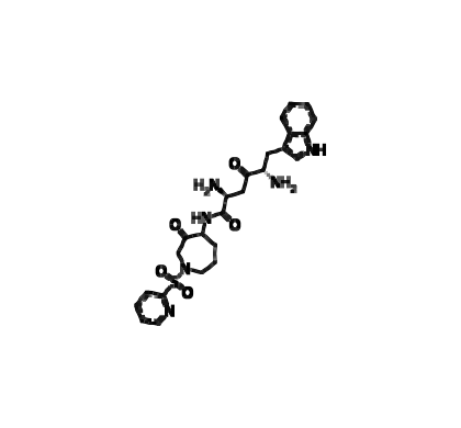 N[C@@H](Cc1c[nH]c2ccccc12)C(=O)C[C@H](N)C(=O)NC1CCCN(S(=O)(=O)c2ccccn2)CC1=O